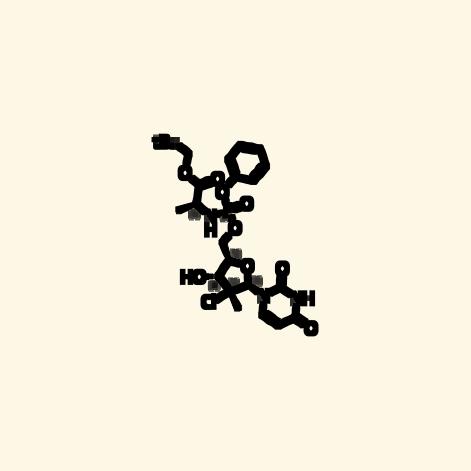 C[C@H](N[P@@](=O)(OC[C@H]1O[C@@H](n2ccc(=O)[nH]c2=O)[C@](C)(Cl)[C@@H]1O)Oc1ccccc1)C(=O)OCC(C)(C)C